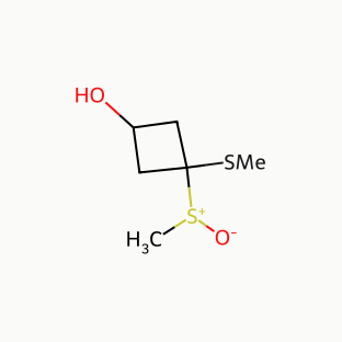 CSC1([S+](C)[O-])CC(O)C1